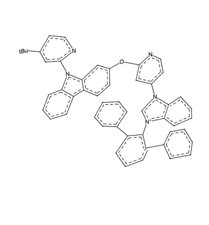 CC(C)(C)c1ccnc(-n2c3ccccc3c3ccc(Oc4cc(-n5c[n+](-c6c(-c7ccccc7)cccc6-c6ccccc6)c6ccccc65)ccn4)cc32)c1